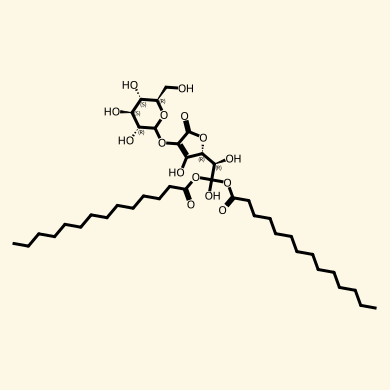 CCCCCCCCCCCCCC(=O)OC(O)(OC(=O)CCCCCCCCCCCCC)[C@H](O)[C@H]1OC(=O)C(OC2O[C@H](CO)[C@@H](O)[C@H](O)[C@H]2O)=C1O